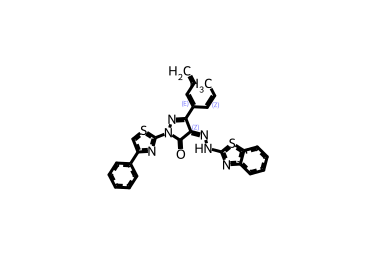 C=C/C=C(\C=C/C)C1=NN(c2nc(-c3ccccc3)cs2)C(=O)/C1=N\Nc1nc2ccccc2s1